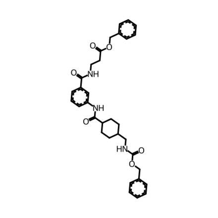 O=C(CCNC(=O)c1cccc(NC(=O)C2CCC(CNC(=O)OCc3ccccc3)CC2)c1)OCc1ccccc1